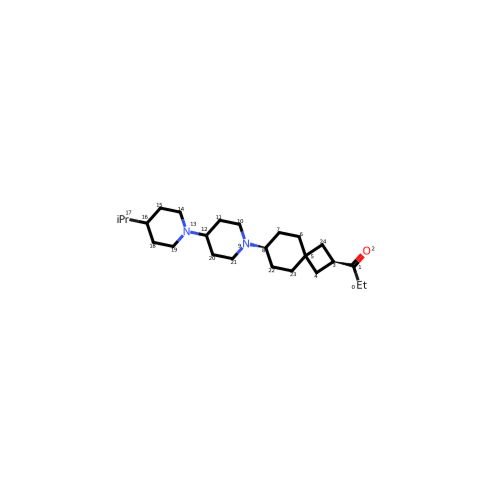 CCC(=O)[C@H]1CC2(CC[C@H](N3CCC(N4CCC(C(C)C)CC4)CC3)CC2)C1